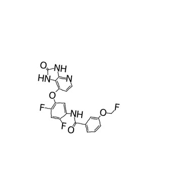 O=C(Nc1cc(Oc2ccnc3[nH]c(=O)[nH]c23)c(F)cc1F)c1cccc(OCF)c1